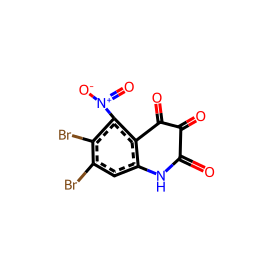 O=C1Nc2cc(Br)c(Br)c([N+](=O)[O-])c2C(=O)C1=O